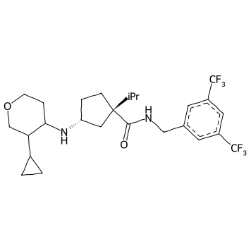 CC(C)[C@]1(C(=O)NCc2cc(C(F)(F)F)cc(C(F)(F)F)c2)CC[C@@H](NC2CCOCC2C2CC2)C1